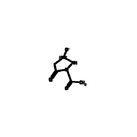 CC(=O)N1N[NH+]([O-])CC1=O